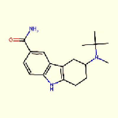 CN(C1CCc2[nH]c3ccc(C(N)=O)cc3c2C1)C(C)(C)C